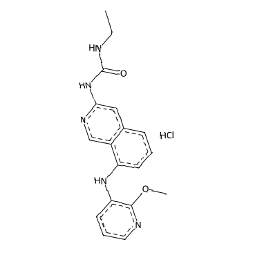 CCNC(=O)Nc1cc2cccc(Nc3cccnc3OC)c2cn1.Cl